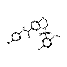 COc1ccc(Cl)cc1S(=O)(=O)N1CCOc2ccc(C(=O)Nc3ccc(C#N)cc3)cc21